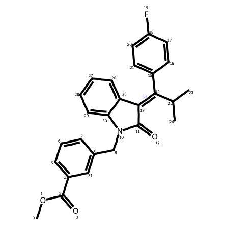 COC(=O)c1cccc(CN2C(=O)/C(=C(/c3ccc(F)cc3)C(C)C)c3ccccc32)c1